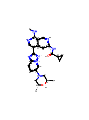 CNc1ncc(-c2nc3ccc(N4C[C@@H](C)O[C@H](C)C4)cn3n2)c2cc(NC(=O)C3CC3)ncc12